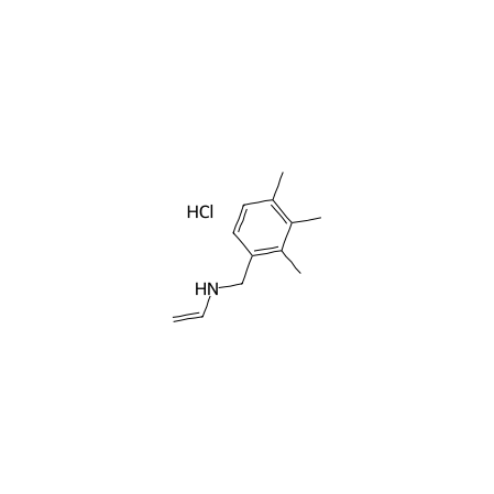 C=CNCc1ccc(C)c(C)c1C.Cl